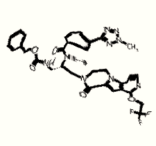 Cn1nnc(-c2cccc(C(=O)N[C@@H](CNC(=O)OCc3ccccc3)CN3CCn4c(cc5c(OCC(F)(F)F)nccc54)C3=O)c2)n1